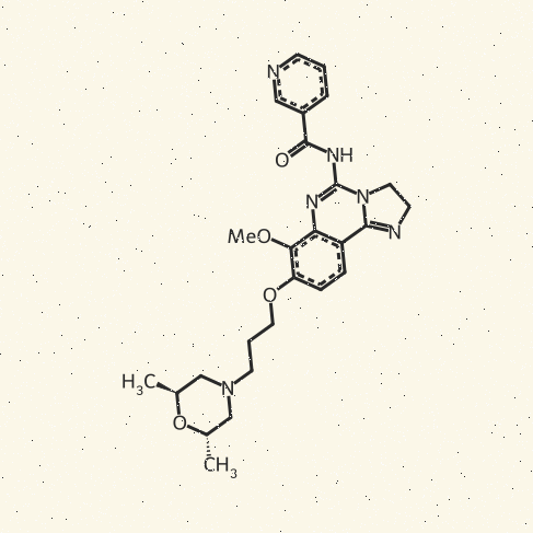 COc1c(OCCCN2C[C@H](C)O[C@@H](C)C2)ccc2c1N=C(NC(=O)c1cccnc1)N1CCN=C21